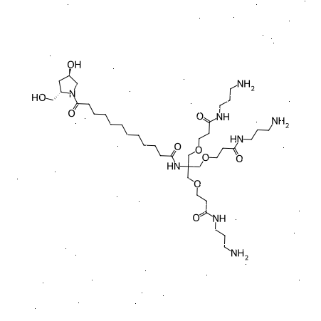 NCCCNC(=O)CCOCC(COCCC(=O)NCCCN)(COCCC(=O)NCCCN)NC(=O)CCCCCCCCCCC(=O)N1C[C@H](O)C[C@H]1CO